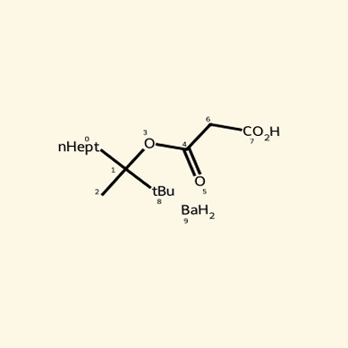 CCCCCCCC(C)(OC(=O)CC(=O)O)C(C)(C)C.[BaH2]